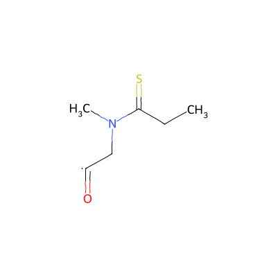 CCC(=S)N(C)C[C]=O